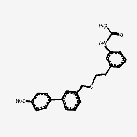 COc1ccc(-c2cccc(COCCc3cccc(NC(N)=O)c3)c2)cc1